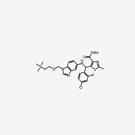 COC(=O)c1nc(C)sc1C(Nc1ccc2c(c1)ncn2COCC[Si](C)(C)C)c1ccc(Cl)cc1F